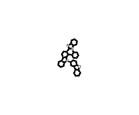 c1ccc2c(c1)nc1c3ccc4c5ccccc5n(-c5ccc6oc7ccccc7c6c5)c4c3c3ccccc3n21